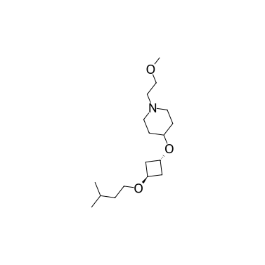 COCCN1CCC(O[C@H]2C[C@H](OCCC(C)C)C2)CC1